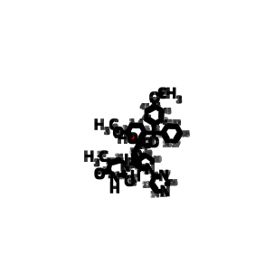 COc1ccc(C(OC[C@@]23CN(c4ccncn4)[C@@H]([C@H](n4cc(C)c(=O)[nH]c4=O)O2)[C@@H]3CC(=O)O)(c2ccccc2)c2ccc(OC)cc2)cc1